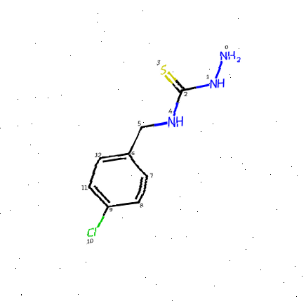 NNC(=S)NCc1ccc(Cl)cc1